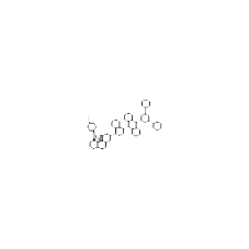 CCc1ccc(-n2c3cccc4ccc5cc(-c6ccc(-c7c8ccccc8c(-c8cc(-c9ccccc9)cc(-c9ccccc9)c8)c8ccccc78)c7ccccc67)cc2c5c43)cc1